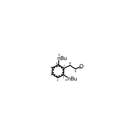 CCCCc1cccc(CCCC)c1CC[O]